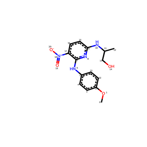 COc1ccc(Nc2nc(NC(C)CO)ccc2[N+](=O)[O-])cc1